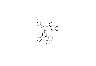 c1ccc(-c2nc(-c3cc(-c4cccc5ccccc45)c4oc5ccccc5c4c3)nc(-c3cccc4c3ccc3ccccc34)n2)cc1